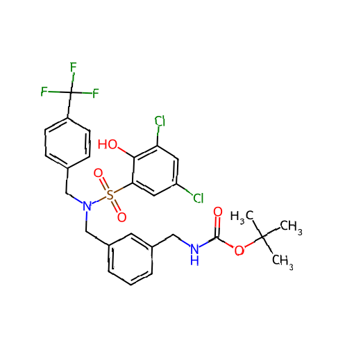 CC(C)(C)OC(=O)NCc1cccc(CN(Cc2ccc(C(F)(F)F)cc2)S(=O)(=O)c2cc(Cl)cc(Cl)c2O)c1